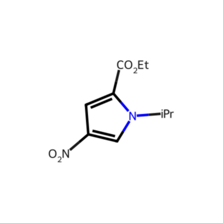 CCOC(=O)c1cc([N+](=O)[O-])cn1C(C)C